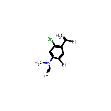 C=CN(C)c1cc(Br)c(C(=C)CC)cc1CC